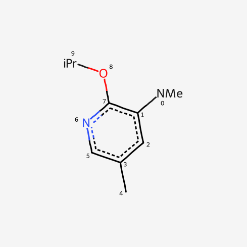 CNc1cc(C)cnc1OC(C)C